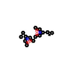 CC1(C)c2ccccc2-c2ccc(-c3cc4c5ccc6c7ccccc7oc6c5n5c4c(c3)c3ccc4c6cc(-c7cccc8oc9c(ccc%10c%11cc(-c%12ccccc%12-c%12ccccc%12)cc%12c%13ccc%14c%15ccccc%15oc%14c%13n(c%12%11)c%109)c78)ccc6oc4c35)cc21